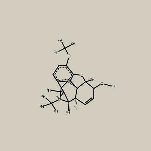 [2H]OC1C=C[C@]2([2H])[C@@]34CCN(C([2H])([2H])[2H])[C@]2([2H])C([2H])([2H])c2ccc(OC([2H])([2H])[2H])c(c23)OC14[2H]